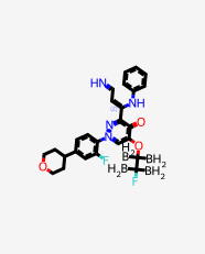 BC(B)(F)C(B)(B)Oc1cn(-c2ccc(C3CCOCC3)cc2F)nc(/C(=C/C=N)Nc2ccccc2)c1=O